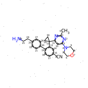 Cc1nc(N2CCOCC2)cc(C2(c3cc(C#N)ccc3-c3ccc(CCN)cc3)CC2)n1